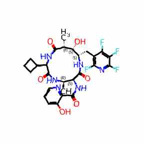 C[C@H]1NC(=O)C(C2CCC2)NC(=O)[C@H](C)[C@H](O)[C@H](Cc2c(F)nc(F)c(F)c2F)NC(=O)[C@H]1NC(=O)c1ncccc1O